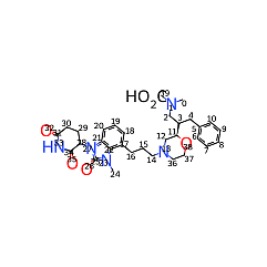 CN(CC(Cc1ccccc1)[C@@H]1CN(CCCc2cccc3c2n(C)c(=O)n3C2CCC(=O)NC2=O)CCO1)C(=O)O